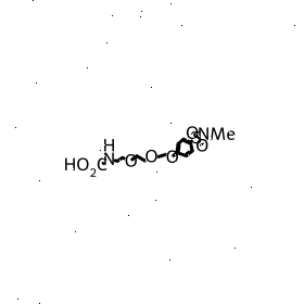 CNS(=O)(=O)c1ccc(OCCOCCOCCNC(=O)O)cc1